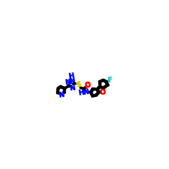 O=C(CSc1nc(-c2cccnc2)n[nH]1)Nc1ccc2oc3cc(F)ccc3c2c1